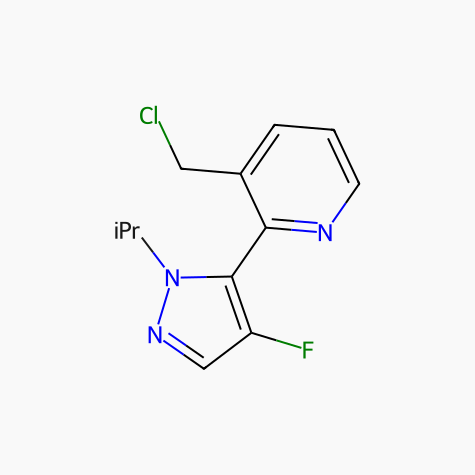 CC(C)n1ncc(F)c1-c1ncccc1CCl